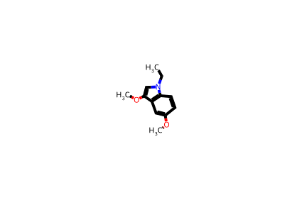 CCn1cc(OC)c2cc(OC)ccc21